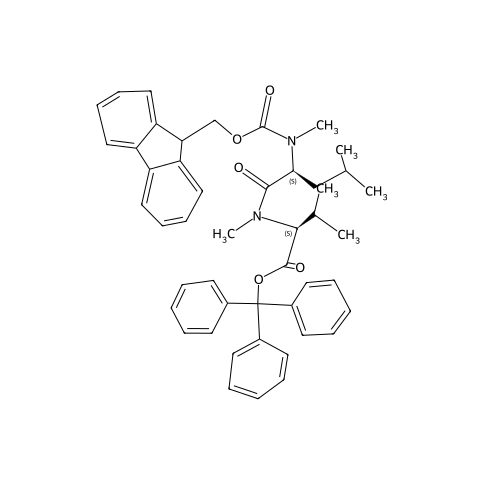 CC(C)C[C@@H](C(=O)N(C)[C@H](C(=O)OC(c1ccccc1)(c1ccccc1)c1ccccc1)C(C)C)N(C)C(=O)OCC1c2ccccc2-c2ccccc21